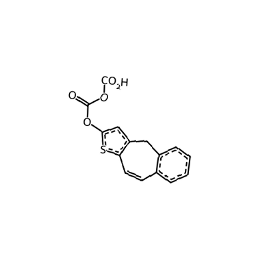 O=C(O)OC(=O)Oc1cc2c(s1)C=Cc1ccccc1C2